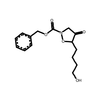 O=C1CN(C(=O)OCc2ccccc2)OC1CCCCO